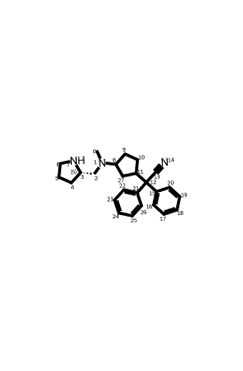 CN(C[C@@H]1CCCN1)C1CCC(C(C#N)(c2ccccc2)c2ccccc2)C1